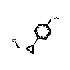 COc1ccc([C@H]2C[C@@H]2CO)cc1